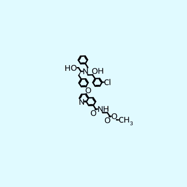 CCOC(=O)CCNC(=O)c1ccc2c(Oc3ccc(C[C@@H](CO)N(Cc4ccccc4)C[C@H](O)c4cccc(Cl)c4)cc3)ccnc2c1